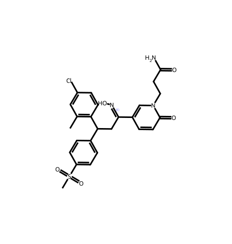 Cc1cc(Cl)ccc1C(C/C(=N\O)c1ccc(=O)n(CCC(N)=O)c1)c1ccc(S(C)(=O)=O)cc1